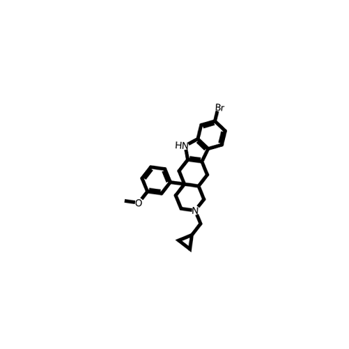 COc1cccc(C23CCN(CC4CC4)CC2Cc2c([nH]c4cc(Br)ccc24)C3)c1